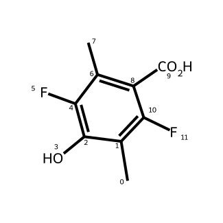 Cc1c(O)c(F)c(C)c(C(=O)O)c1F